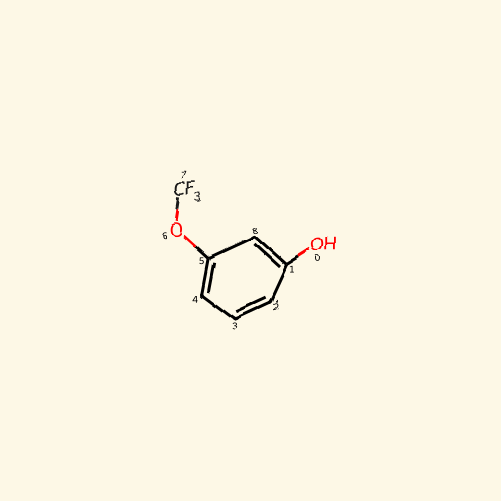 Oc1[c]ccc(OC(F)(F)F)c1